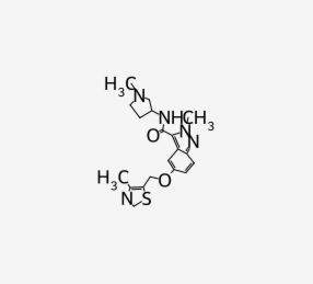 Cc1ncsc1COc1ccc2nn(C)c(C(=O)NC3CCN(C)C3)c2c1